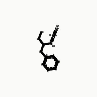 [CH2]CC(Cc1ccccc1)N=[N+]=[N-]